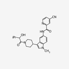 CC(C)C(O)C(=O)N1CCC(c2cn(C)c3ccc(NC(=O)c4cc(C#N)ccn4)cc23)CC1